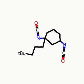 CC(C)(C)CCCC1(N=C=O)CCCC(N=C=O)C1